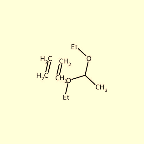 C=C.C=C.CCOC(C)OCC